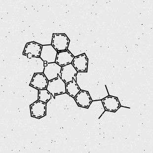 Cc1cc(C)c(-c2ccc3c(c2)n2c4cccc5ccc6c(c54)n4c5c(ccc7c8ccccc8n(c75)c3c24)B6c2ccccc2-c2ccccc2)c(C)c1